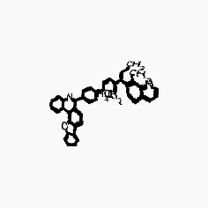 C=C/C=C(C(/C=C\C(=C)C1C=CC(C2=NC3C=CC=CC3c3c2ccc2c3oc3ccccc32)=CC1)=C/C)\c1ccc2cccnc2c1C